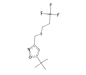 CC(C)(C)c1cc(CSCCC(F)(F)F)no1